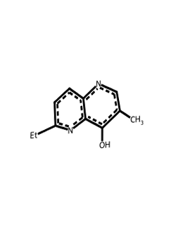 CCc1ccc2ncc(C)c(O)c2n1